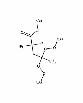 CCCCOC(=O)C(CC(C)(OOC(C)(C)C)OOC(C)(C)C)(C(C)C)C(C)C